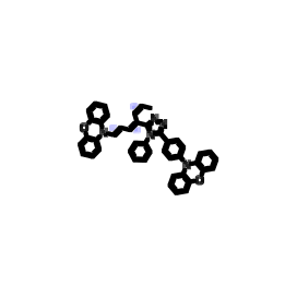 C\C=C/C(=C\C=C\N1c2ccccc2Oc2ccccc21)c1nnc(-c2ccc(N3c4ccccc4Oc4ccccc43)cc2)n1-c1ccccc1